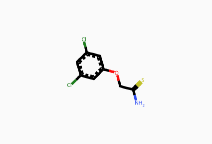 NC(=S)COc1cc(Cl)cc(Cl)c1